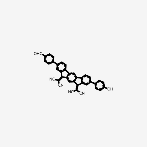 N#CC(C#N)=C1c2cc(-c3ccc(O)cc3)ccc2-c2cc3c(cc21)C(=C(C#N)C#N)c1cc(-c2ccc(C=O)cc2)ccc1-3